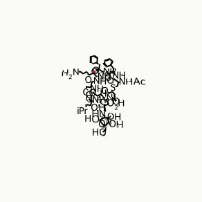 CC(=O)NC(CSC1CC(=O)N(CCCCN[C@H]2C(O)O[C@H](CO)[C@@H](O)[C@@H]2O)C1=O)C(=O)NC(Cc1ccccc1)C(=O)NC(NC(NC(=O)C(CC(=O)O)NC(=O)C(CCC(=O)O)NC(=O)C(O)CC(C)C)C(=O)CCCCN)C(=O)Cc1ccccc1